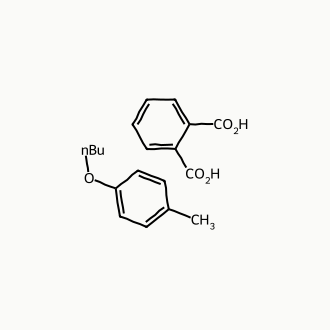 CCCCOc1ccc(C)cc1.O=C(O)c1ccccc1C(=O)O